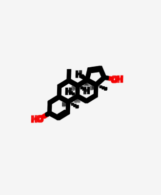 CC1CC2CC(O)C=C[C@]2(C)[C@@H]2CC[C@]3(C)C(O)C=C[C@H]3[C@H]12